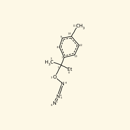 CCC(C)(ON=[N+]=[N-])c1ccc(C)cc1